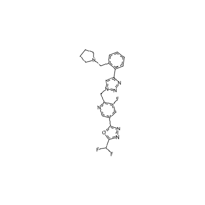 Fc1cc(-c2nnc(C(F)F)o2)cnc1Cn1cc(-c2ccccc2CN2CCCC2)nn1